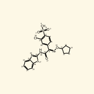 CS(=O)(=O)c1ccc(/C(=N\OC2CCCC2)C(=O)Nc2nc3ccccc3s2)cc1Cl